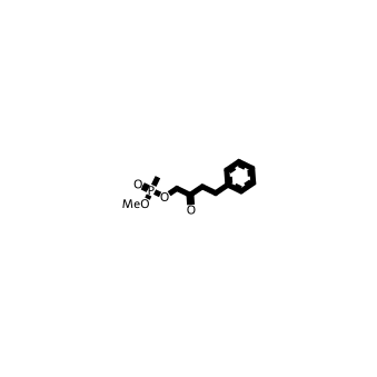 COP(C)(=O)OCC(=O)CCc1ccccc1